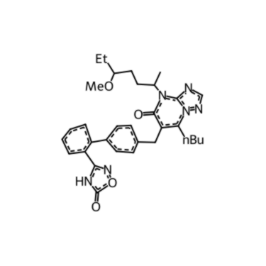 CCCCc1c(Cc2ccc(-c3ccccc3-c3noc(=O)[nH]3)cc2)c(=O)n(C(C)CCC(CC)OC)c2ncnn12